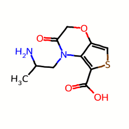 CC(N)CN1C(=O)COc2csc(C(=O)O)c21